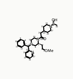 COCC[C@H]1CN(C(c2ccccc2)c2ccccn2)CCN1C(=O)CC1CCN(B(C)O)CC1